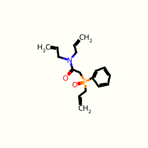 C=CCN(CC=C)C(=O)CP(=O)(CC=C)c1ccccc1